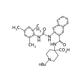 CCCCN1CCC(NC(=O)c2cc3ccccc3cc2NC(=O)Nc2c(C)cc(C)cc2C)(C(=O)O)CC1